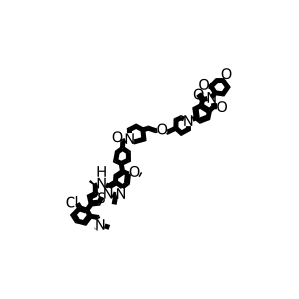 COc1cc2nc(C)nc(N[C@H](C)c3cc(-c4c(Cl)cccc4CN(C)C)cs3)c2cc1C1CCC(C(=O)N2CCC(CCOCC3CCN(c4ccc5c(c4)C(=O)N(C4CCC(=O)CC4=O)C5=O)CC3)CC2)CC1